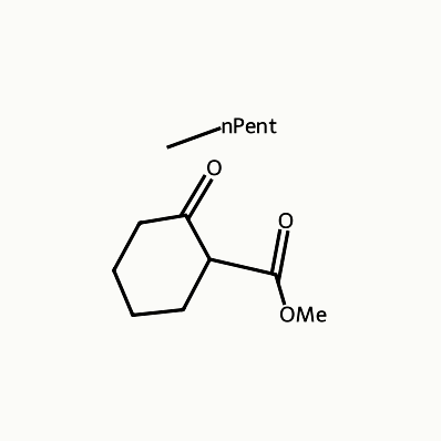 CCCCCC.COC(=O)C1CCCCC1=O